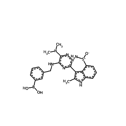 Cc1[nH]c2cccc([S+](N)[O-])c2c1-c1nnc(N(C)C)c(NCc2cccc(B(O)O)c2)n1